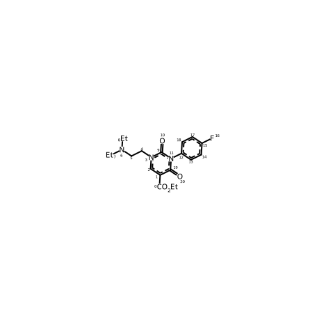 CCOC(=O)c1cn(CCN(CC)CC)c(=O)n(-c2ccc(F)cc2)c1=O